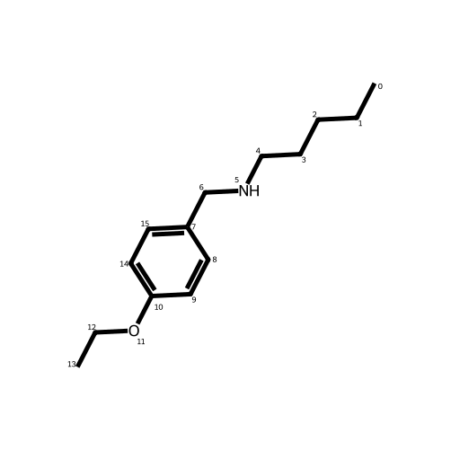 CCCCCNCc1ccc(OCC)cc1